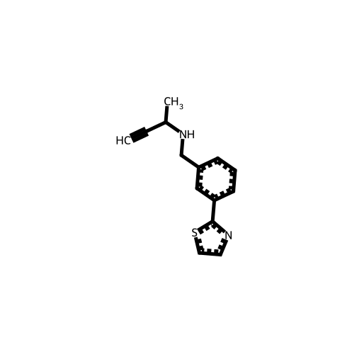 C#CC(C)NCc1cccc(-c2nccs2)c1